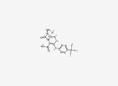 N[C@@H]1C(=O)N2C(C(=O)O)=C(Sc3ccc(C(F)(F)F)cc3)CS[C@H]12